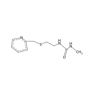 CNC(=O)NCCSCc1ccccn1